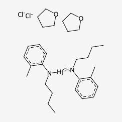 C1CCOC1.C1CCOC1.CCCC[N]([Hf+2][N](CCCC)c1ccccc1C)c1ccccc1C.[Cl-].[Cl-]